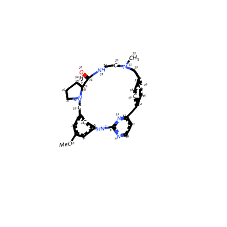 COc1cc2cc(c1)Nc1nccc(n1)-c1ccc(cc1)CN(C)CCNC(=O)[C@@H]1CCCN1C2